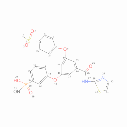 CS(=O)(=O)C1C=CC(Oc2cc(Oc3cccc(P(=O)(O)N=O)c3)cc(C(=O)Nc3nccs3)c2)=CC1